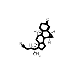 C[C@H](CCC#N)C1CCC2C3C(CC[C@@]21C)[C@@]1(C)CCC(=O)C=C1[C@H]1C[C@@H]31